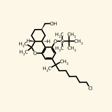 CC(C)(CCCCCCCl)c1cc2c(c(O[Si](C)(C)C(C)(C)C)c1)[C@@H]1C[C@H](CO)CC[C@H]1C(C)(C)O2